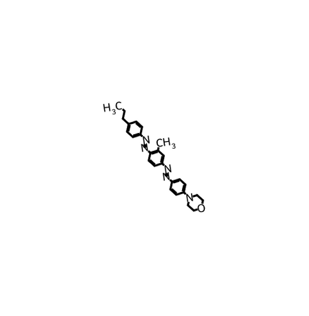 CCCc1ccc(/N=N/c2ccc(/N=N/c3ccc(N4CCOCC4)cc3)cc2C)cc1